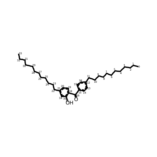 CCCCCCCCCCCCc1ccc(C(=O)c2ccc(CCCCCCCCCCCC)cc2O)cc1